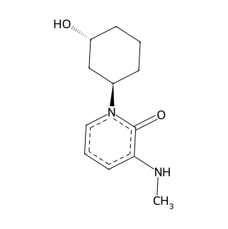 CNc1cccn([C@@H]2CCC[C@@H](O)C2)c1=O